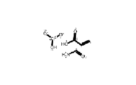 C=CC(=O)O.NC=O.[O-][Cl+2]([O-])O